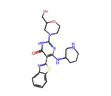 O=c1[nH]c(N2CCOC(CO)C2)nc(NC2CCCNC2)c1-c1nc2ccccc2s1